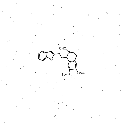 CCOc1cc2c(cc1OC)CCN(C=O)C2CCc1cc2ccccc2o1